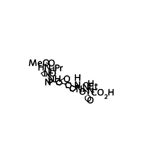 CC[C@H]1CC[C@@H](c2nc3ccc4cc5c(cc4c3[nH]2)OCc2cc(-c3cnc([C@@H]4CC[C@H](C)N4C(=O)[C@@H](NC(=O)OC)C(C)C)[nH]3)ccc2-5)N1C(=O)[C@@H](NC(=O)O)[C@@H]1CCCOC1